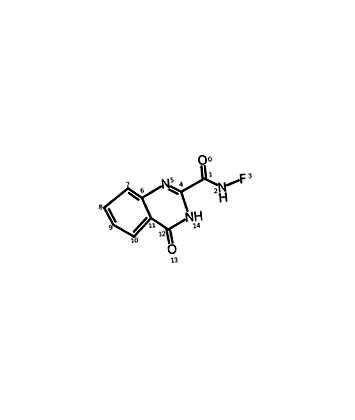 O=C(NF)c1nc2ccccc2c(=O)[nH]1